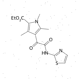 CCOC(=O)c1c(C)c(C(=O)C(=O)Nc2nccs2)c(C)n1C